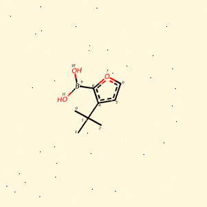 CC(C)(C)c1ccoc1B(O)O